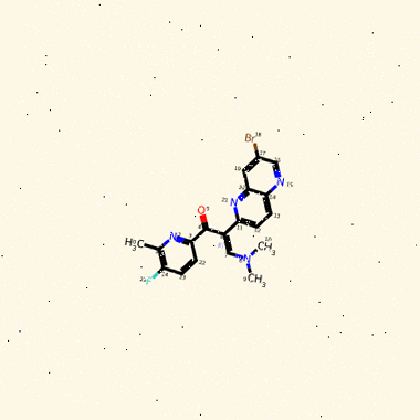 Cc1nc(C(=O)/C(=C/N(C)C)c2ccc3ncc(Br)cc3n2)ccc1F